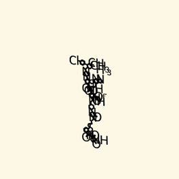 CC1(C)CCC(CN2CCN(c3ccc(C(=O)NS(=O)(=O)c4ccc(NCC5CCC(N6CCN(CCCCSc7cccc8c7CN(C7CCC(=O)NC7=O)C8=O)C(=O)C6)CC5)c([N+](=O)[O-])c4)c(Oc4cnc5[nH]ccc5c4)c3)CC2)=C(c2ccc(Cl)cc2)C1